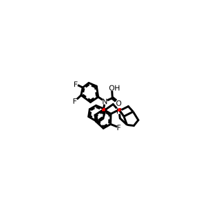 O=C(O)N(c1ccc(F)c(F)c1)c1cccc(F)c1CC1C2CCC1CN(Cc1ccccc1)C2